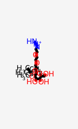 CC(C)(C)[Si](C)(C)OC1C(OCCOCCOCCN=[N+]=N)OC(CO)C(O)C1O